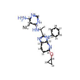 CC(Nc1ncnc(N)c1C#N)c1nc2ccc(OC3CC3)nc2n1-c1ccccc1